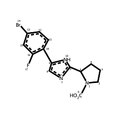 O=C(O)N1CCCC1c1ncc(-c2ccc(Br)cc2F)[nH]1